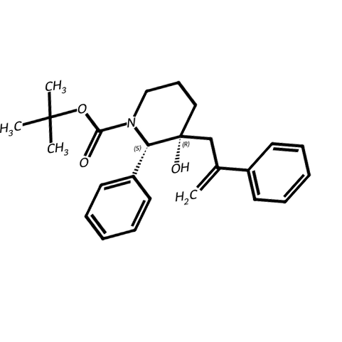 C=C(C[C@]1(O)CCCN(C(=O)OC(C)(C)C)[C@H]1c1ccccc1)c1ccccc1